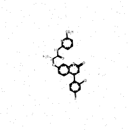 C[C@@H](Oc1ccc2c(-c3ccc(F)cc3Cl)cc(=O)oc2c1)C(=O)Nc1cccc(C(=O)O)n1